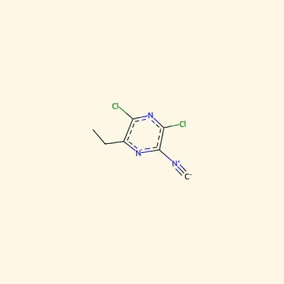 [C-]#[N+]c1nc(CC)c(Cl)nc1Cl